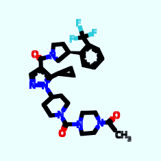 CC(=O)N1CCN(C(=O)N2CCC(n3ncc(C(=O)N4CC[C@@H](c5ccccc5C(F)(F)F)C4)c3C3CC3)CC2)CC1